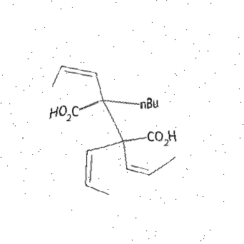 C/C=C\C(/C=C\C)(C(=O)O)C(/C=C\C)(CCCC)C(=O)O